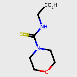 O=C(O)CNC(=S)N1CCOCC1